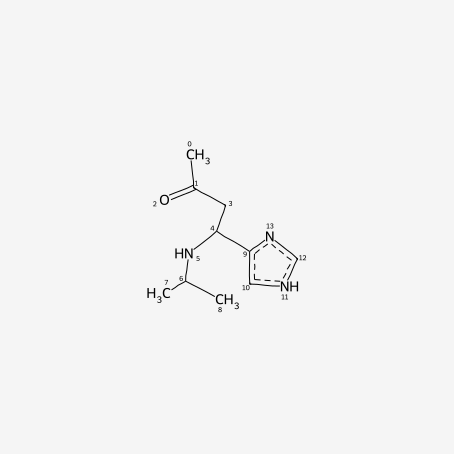 CC(=O)CC(NC(C)C)c1c[nH]cn1